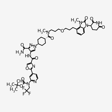 CN(CCCOCCCc1cccc2c1n(C)c(=O)n2C1CCC(=O)NC1=O)C(=O)[C@H]1CC[C@H](n2cc(NC(=O)c3coc(-c4ccnc(N(CC(F)(F)F)C(=O)OC(C)(C)C)c4)n3)c(C(N)=O)n2)CC1